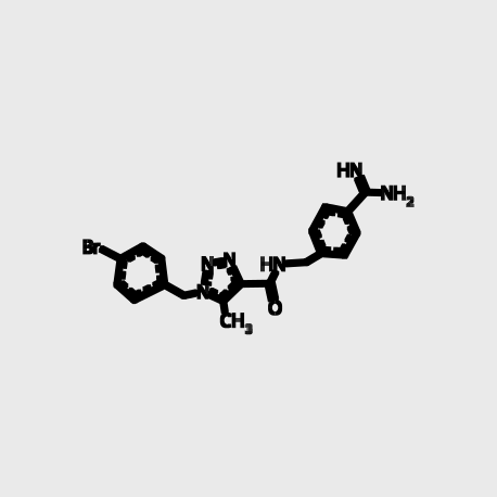 Cc1c(C(=O)NCc2ccc(C(=N)N)cc2)nnn1Cc1ccc(Br)cc1